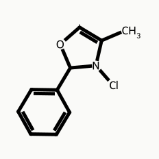 CC1=[C]OC(c2ccccc2)N1Cl